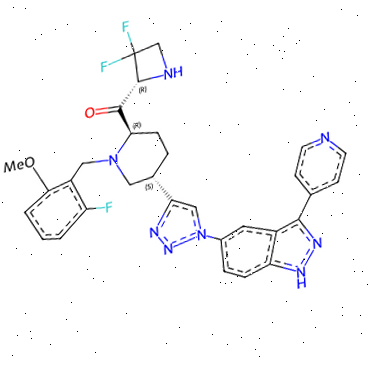 COc1cccc(F)c1CN1C[C@@H](c2cn(-c3ccc4[nH]nc(-c5ccncc5)c4c3)nn2)CC[C@@H]1C(=O)[C@H]1NCC1(F)F